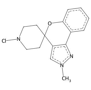 Cn1cc2c(n1)-c1ccccc1OC21CCN(Cl)CC1